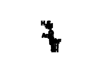 CC(=O)c1nn(CC(=O)N2C[C@H](F)C[C@H]2C(=O)NCC2BC2)c2ccc(-c3cnc(C)nc3)cc12